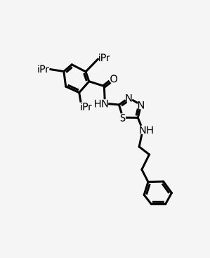 CC(C)c1cc(C(C)C)c(C(=O)Nc2nnc(NCCCc3ccccc3)s2)c(C(C)C)c1